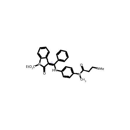 CCOC(=O)N1C(=O)/C(=C(\Nc2ccc(N(C)C(=O)CCNC)cc2)c2ccccc2)c2ccccc21